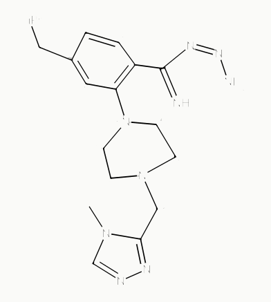 CC(C)Cc1ccc(C(=N)/N=N\N)c(N2CCN(Cc3nncn3C)CC2)c1